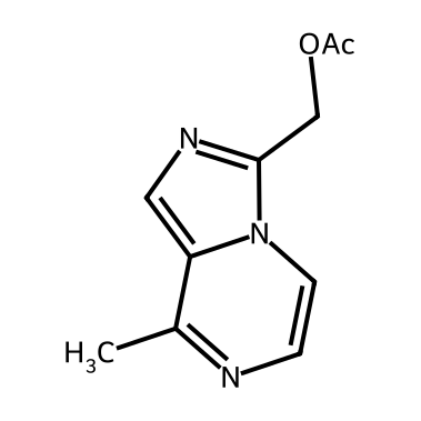 CC(=O)OCc1ncc2c(C)nccn12